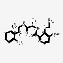 COc1ccnc(C(=O)N[C@@H](C)C(=O)O[C@@H](C)[C@@H](C)c2ccccc2C)c1OCOC(C)=O